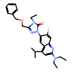 CCN(CC)c1cc(C(C)C)c2cc(-n3nc(COCc4ccccc4)n(CC)c3=O)c(F)cc2n1